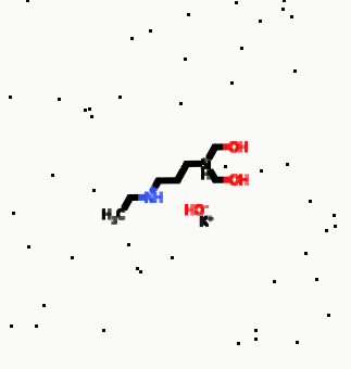 CCNCCC[SiH](CO)CO.[K+].[OH-]